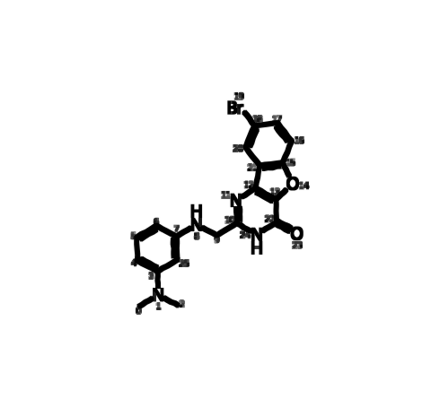 CN(C)c1cccc(NCc2nc3c(oc4ccc(Br)cc43)c(=O)[nH]2)c1